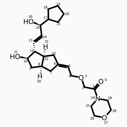 O=C(COCC=C1C[C@H]2C[C@@H](O)[C@H](C=C[C@@H](O)C3CCCC3)[C@H]2C1)N1CCOCC1